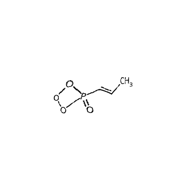 CC=CP1(=O)OOO1